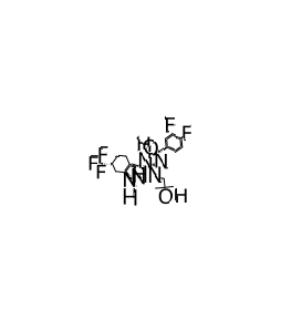 CC(C)(O)CN/C(=N/C(=O)c1ccc(F)c(F)c1)Nc1n[nH]c2c1CC[C@@H](C(F)(F)F)C2